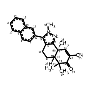 Cn1nc2c(c1-c1ccc3ccccc3c1)CC[C@H]1C(C)(C)C(=O)C(C#N)=C[C@]21C